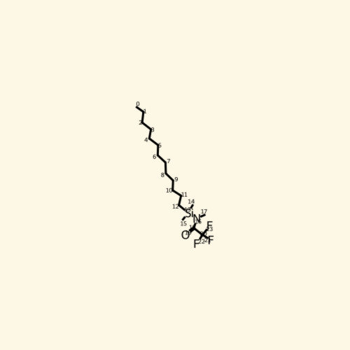 CCCCCCCCCCCCC[Si](C)(C)N(C)C(=O)C(F)(F)F